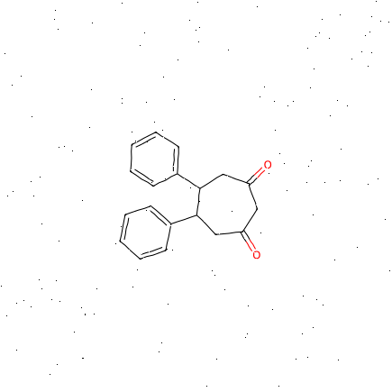 O=C1CC(=O)CC(c2ccccc2)C(c2ccccc2)C1